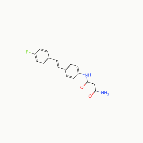 NC(=O)CC(=O)Nc1ccc(C=Cc2ccc(F)cc2)cc1